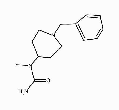 CN(C(N)=O)C1CCN(Cc2ccccc2)CC1